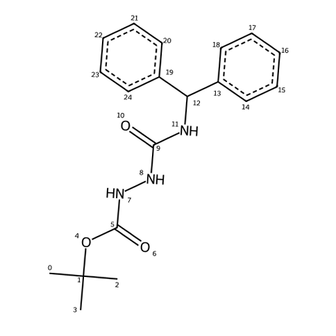 CC(C)(C)OC(=O)NNC(=O)NC(c1ccccc1)c1ccccc1